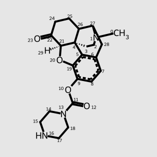 CN1CC[C@]23c4c5ccc(OC(=O)N6CCNCC6)c4O[C@H]2C(=O)CCC3C1C5